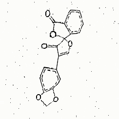 O=C1OC2(OC=C(c3ccc4c(c3)OCO4)C2=O)c2ccccc21